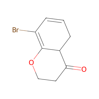 O=C1CCOC2=C(Br)C=CCC12